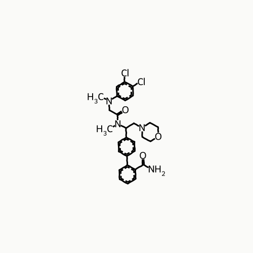 CN(CC(=O)N(C)C(CN1CCOCC1)c1ccc(-c2ccccc2C(N)=O)cc1)c1ccc(Cl)c(Cl)c1